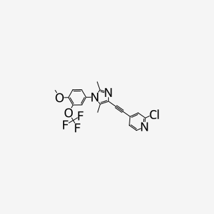 COc1ccc(-n2c(C)nc(C#Cc3ccnc(Cl)c3)c2C)cc1OC(F)(F)F